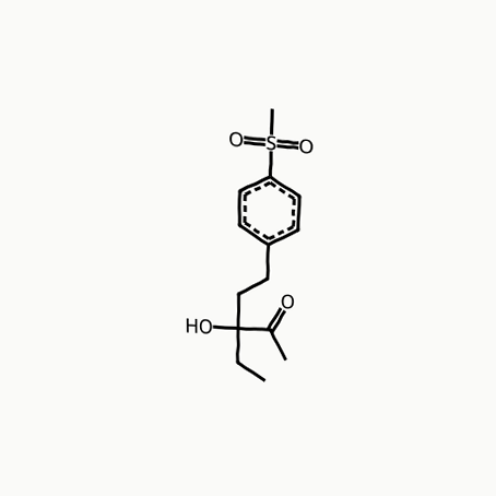 CCC(O)(CCc1ccc(S(C)(=O)=O)cc1)C(C)=O